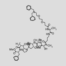 CC[C@H](C)[C@@H]([C@@H](CC(=O)N1CCC[C@H]1[C@H](OC)[C@@H](C)C(=O)N[C@@H](Cc1ccccc1)C(=O)OC)OC)N(C)C(=O)[C@@H](NC(=O)C(C(C)C)N(C)C(=O)CCCNC(=O)C(C)NC(=O)CCOCCOCCN(Cc1ccccc1)Cc1ccccc1)C(C)C